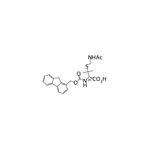 CC(=O)NCSC(C)(C)[C@H](NC(=O)OCc1cccc2c1Cc1ccccc1-2)C(=O)O